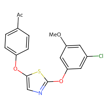 COc1cc(Cl)cc(Oc2ncc(Oc3ccc(C(C)=O)cc3)s2)c1